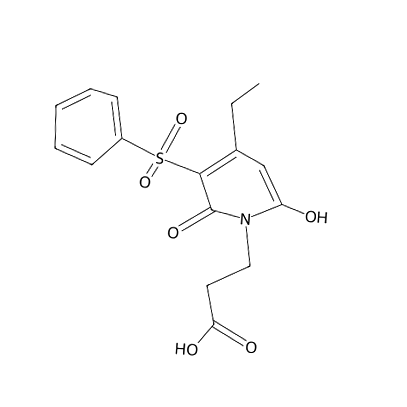 CCc1cc(O)n(CCC(=O)O)c(=O)c1S(=O)(=O)c1ccccc1